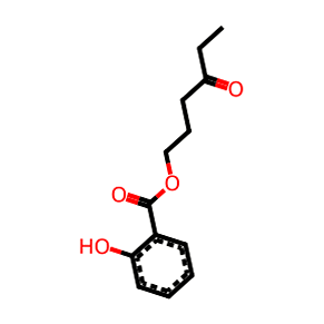 CCC(=O)CCCOC(=O)c1ccccc1O